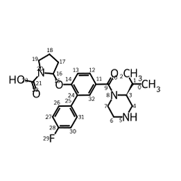 CC(C)[C@H]1CNCCN1C(=O)c1ccc(OC2CCCN2C(=O)O)c(-c2ccc(F)cc2)c1